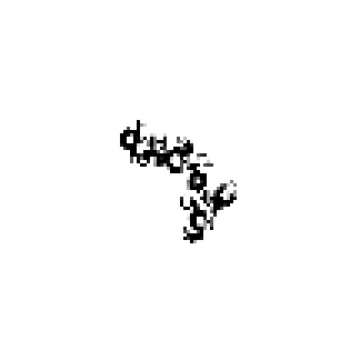 O=C(Nc1c(F)cccc1F)c1cc2c(s1)-c1sccc1N(C(=O)c1ccc(NC(=O)c3cc4sccc4nc3N3CC4(CCOCC4)C3)cc1F)CC2